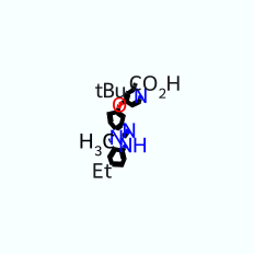 CCc1ccc(Nc2nc3cc(Oc4ccnc(C(=O)O)c4C(C)(C)C)ccc3n2C)cc1